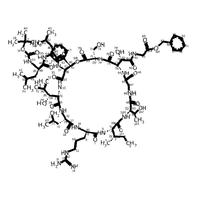 CC[C@H](C)[C@@H]1NC(=O)[C@@H](CCCNC(=N)N)NC(=O)[C@H](CC(C)C)NC(=O)[C@H]([C@H](O)C(C)C)NC(=O)[C@@H](NC(=O)[C@H](CC(C)C)NC(=O)[C@@H](CC(C)C)NC(=O)OC(C)(C)C)[C@@H](c2ccccc2)OC(=O)[C@H](CO)NC(=O)[C@H]([C@H](O)C(=O)NCC(=O)OCc2ccccc2)NC(=O)CNC(=O)[C@H]([C@H](C)O)NC1=O